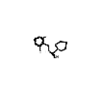 N=C(NCc1c(F)cccc1Cl)N1CCCCC1